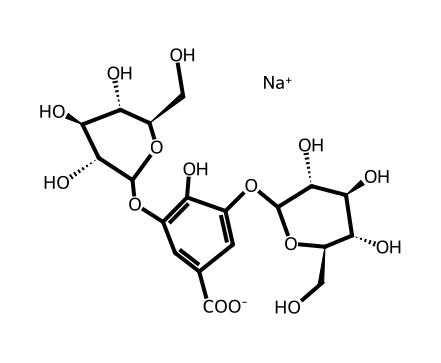 O=C([O-])c1cc(OC2O[C@H](CO)[C@@H](O)[C@H](O)[C@H]2O)c(O)c(OC2O[C@H](CO)[C@@H](O)[C@H](O)[C@H]2O)c1.[Na+]